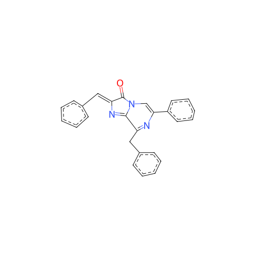 O=C1/C(=C/c2ccccc2)N=C2C(Cc3ccccc3)=NC(c3ccccc3)=CN12